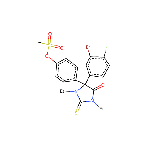 CCN1C(=O)C(c2ccc(OS(C)(=O)=O)cc2)(c2ccc(F)c(Br)c2)N(CC)C1=S